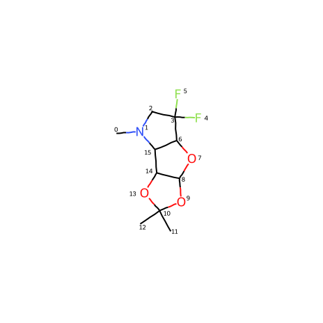 CN1CC(F)(F)C2OC3OC(C)(C)OC3C21